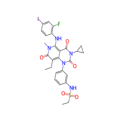 CCc1c(=O)n(C)c(Nc2ccc(I)cc2F)c2c(=O)n(C3CC3)c(=O)n(-c3cccc(NS(=O)(=O)CC)c3)c12